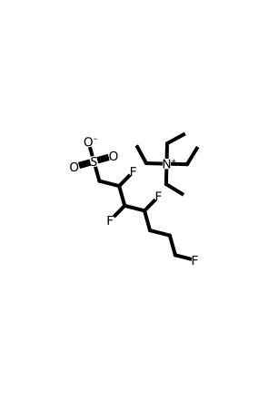 CC[N+](CC)(CC)CC.O=S(=O)([O-])CC(F)C(F)C(F)CCCF